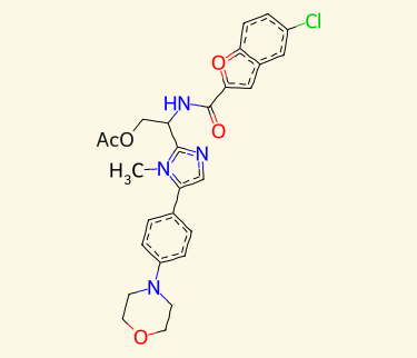 CC(=O)OCC(NC(=O)c1cc2cc(Cl)ccc2o1)c1ncc(-c2ccc(N3CCOCC3)cc2)n1C